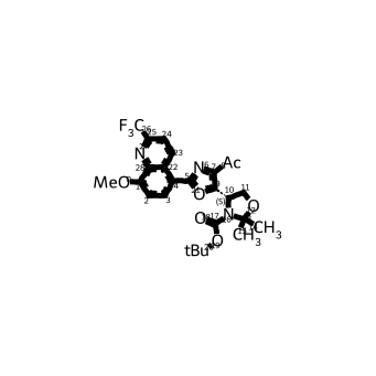 COc1ccc(-c2nc(C(C)=O)c([C@@H]3COC(C)(C)N3C(=O)OC(C)(C)C)o2)c2ccc(C(F)(F)F)nc12